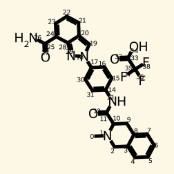 CN1Cc2ccccc2CC1C(=O)Nc1ccc(-n2cc3cccc(C(N)=O)c3n2)cc1.O=C(O)C(F)(F)F